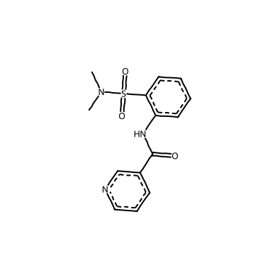 CN(C)S(=O)(=O)c1ccccc1NC(=O)c1cccnc1